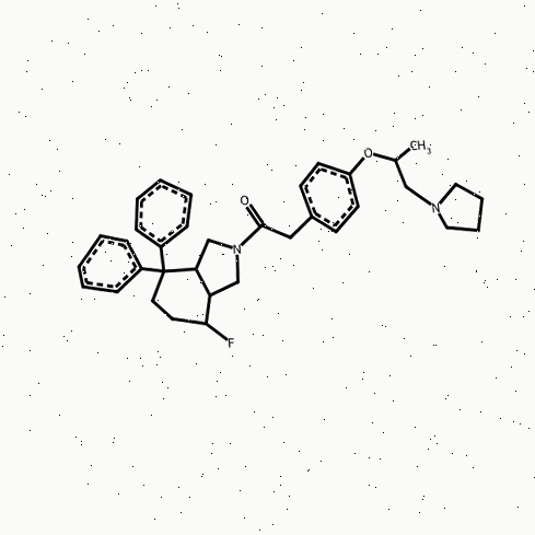 CC(CN1CCCC1)Oc1ccc(CC(=O)N2CC3C(F)CCC(c4ccccc4)(c4ccccc4)C3C2)cc1